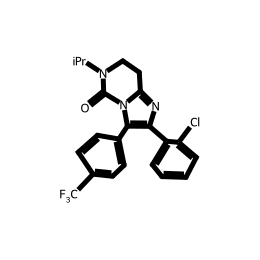 CC(C)N1CCc2nc(-c3ccccc3Cl)c(-c3ccc(C(F)(F)F)cc3)n2C1=O